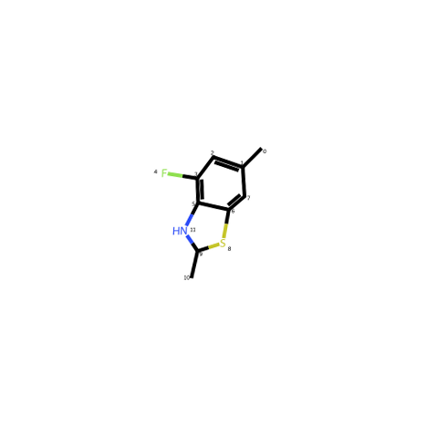 Cc1cc(F)c2c(c1)SC(C)N2